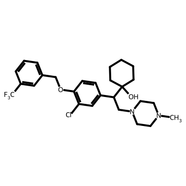 CN1CCN(CC(c2ccc(OCc3cccc(C(F)(F)F)c3)c(Cl)c2)C2(O)CCCCC2)CC1